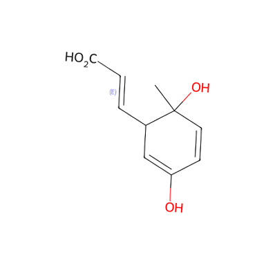 CC1(O)C=CC(O)=CC1/C=C/C(=O)O